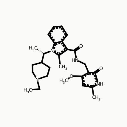 CCN1CCC([C@H](C)n2c(C)c(C(=O)NCc3c(OC)cc(C)[nH]c3=O)c3ccccc32)CC1